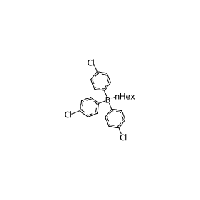 CCCCCC[B-](c1ccc(Cl)cc1)(c1ccc(Cl)cc1)c1ccc(Cl)cc1